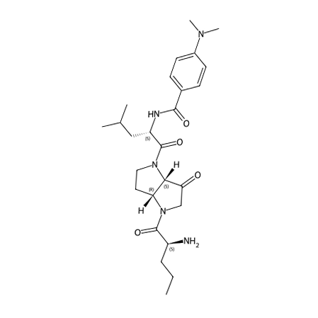 CCC[C@H](N)C(=O)N1CC(=O)[C@@H]2[C@H]1CCN2C(=O)[C@H](CC(C)C)NC(=O)c1ccc(N(C)C)cc1